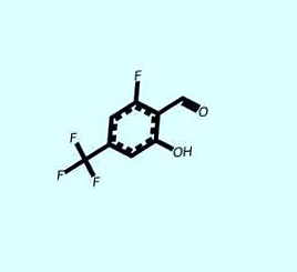 O=Cc1c(O)cc(C(F)(F)F)cc1F